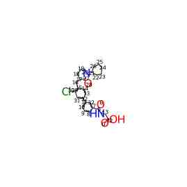 O=C(O)CNC(=O)c1cccc(-c2ccc(CC3CCN(C4CCCCC4)C3=O)c(Cl)c2)c1